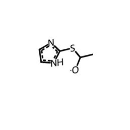 CC([O])Sc1ncc[nH]1